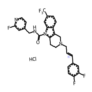 Cl.O=C(NCc1ccnc(F)c1)n1c2c(c3ccc(C(F)(F)F)cc31)CN(C/C=C/c1ccc(F)c(F)c1)CC2